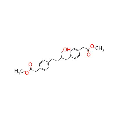 COC(=O)Cc1ccc(CCC(CO)Cc2ccc(CC(=O)OC)cc2)cc1